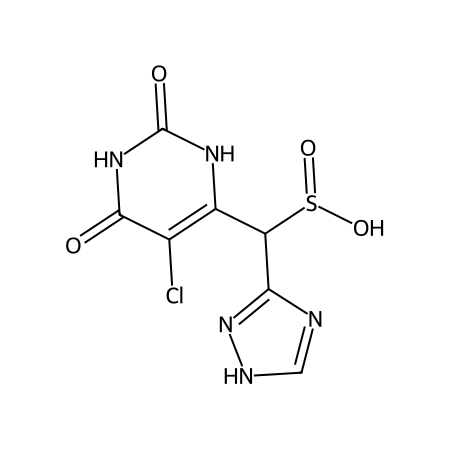 O=c1[nH]c(C(c2nc[nH]n2)S(=O)O)c(Cl)c(=O)[nH]1